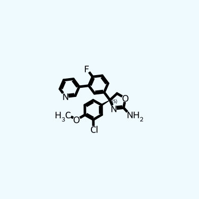 COc1ccc([C@@]2(c3ccc(F)c(-c4cccnc4)c3)COC(N)=N2)cc1Cl